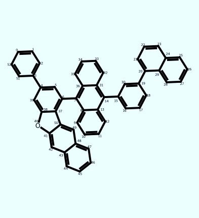 c1ccc(-c2cc(-c3c4ccccc4c(-c4cccc(-c5cccc6ccccc56)c4)c4ccccc34)c3c(c2)oc2cc4ccccc4cc23)cc1